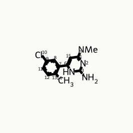 CNC1=NC(N)NC(c2cc(Cl)ccc2C)=C1